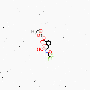 CS(=O)(=O)CCOC(=O)c1cccc2c1OB(O)[C@@H](NC(=O)CC(F)(F)F)C2